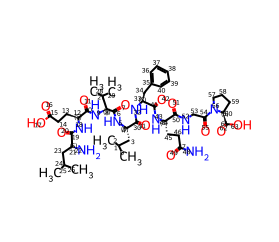 CC(C)C[C@H](NC(=O)[C@@H](NC(=O)[C@H](CCC(=O)O)NC(=O)[C@@H](N)CC(C)C)C(C)C)C(=O)N[C@@H](Cc1ccccc1)C(=O)N[C@@H](CCC(N)=O)C(=O)NCC(=O)N1CCC[C@H]1C(=O)O